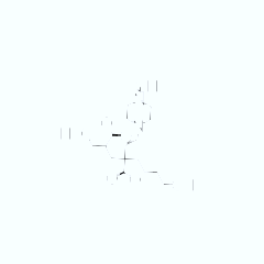 CCCCCC(CCN1CCN(C)CC1)(CC(CC)C(=O)O)C(=O)O